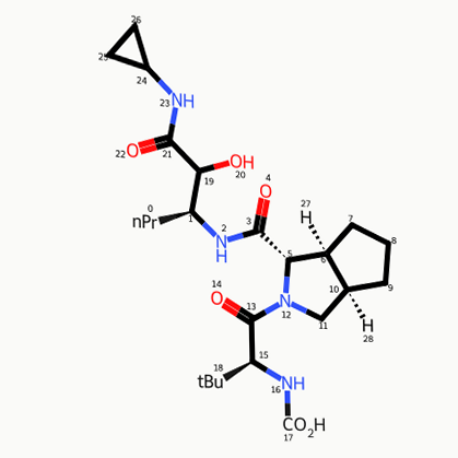 CCC[C@H](NC(=O)[C@@H]1[C@H]2CCC[C@H]2CN1C(=O)[C@@H](NC(=O)O)C(C)(C)C)C(O)C(=O)NC1CC1